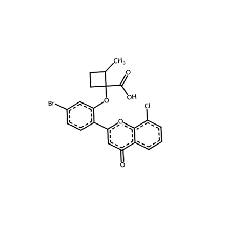 CC1CCC1(Oc1cc(Br)ccc1-c1cc(=O)c2cccc(Cl)c2o1)C(=O)O